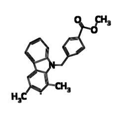 COC(=O)c1ccc(Cn2c3ccccc3c3cc(C)[c]c(C)c32)cc1